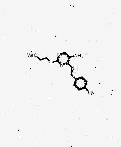 COCCOc1ncc(N)c(NCc2ccc(C#N)cc2)n1